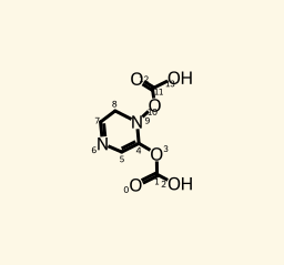 O=C(O)OC1=CN=CCN1OC(=O)O